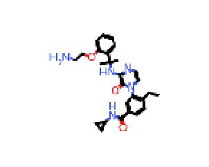 CCc1ccc(C(=O)NC2CC2)cc1-n1ccnc(NC(C)(C)c2ccccc2OCCN)c1=O